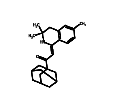 Cc1ccc2c(c1)CC(C)(C)NC2=CC(=O)C12CC3CC(CC(C3)C1)C2